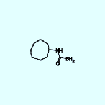 BC(=O)NC1CCCCCCC1